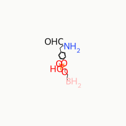 BCCOCP(=O)(O)Oc1ccc(CC(N)C=O)cc1